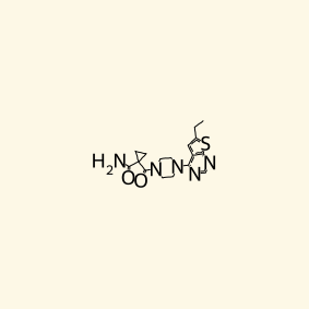 CCc1cc2c(N3CCN(C(=O)C4(C(N)=O)CC4)CC3)ncnc2s1